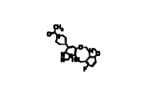 CC(=O)N1CC=C(c2cc3c(n4cnnc24)NCc2c(F)ccc4c2[C@@H](CO4)CO3)CC1